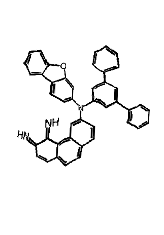 N=C1C=Cc2ccc3ccc(N(c4cc(-c5ccccc5)cc(-c5ccccc5)c4)c4ccc5c(c4)oc4ccccc45)cc3c2C1=N